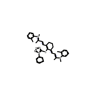 C/C(=C\C=C1/CCCC(/C=C/C(C)=[N+](\C)c2ccccc2C)=C1Sc1nnnn1-c1ccccc1)N(C)c1ccccc1C